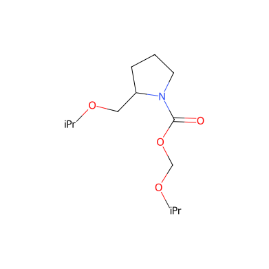 CC(C)OCOC(=O)N1CCCC1COC(C)C